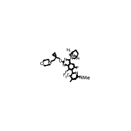 CNc1cc(C)c(C(F)(F)F)c(-c2c(F)cc3c(N4C[C@H]5CC[C@@H](C4)N5)nc(OCC4(CN5CCOCC5)CC4)nc3c2F)n1